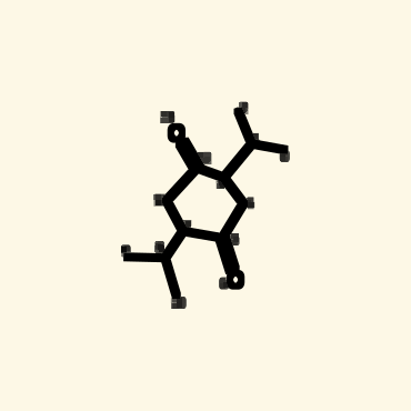 CC(C)C1CC(=O)C(C(C)C)CC1=O